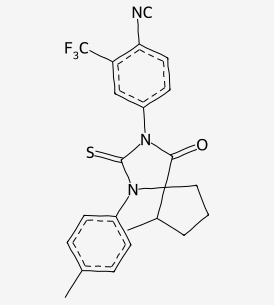 [C-]#[N+]c1ccc(N2C(=O)C3(CCCC3C)N(c3ccc(C)cc3)C2=S)cc1C(F)(F)F